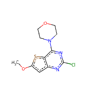 COc1cc2nc(Cl)nc(N3CCOCC3)c2s1